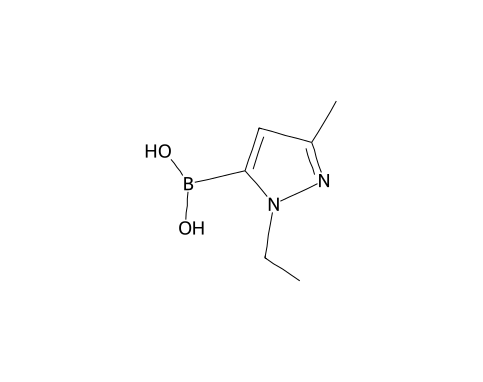 CCn1nc(C)cc1B(O)O